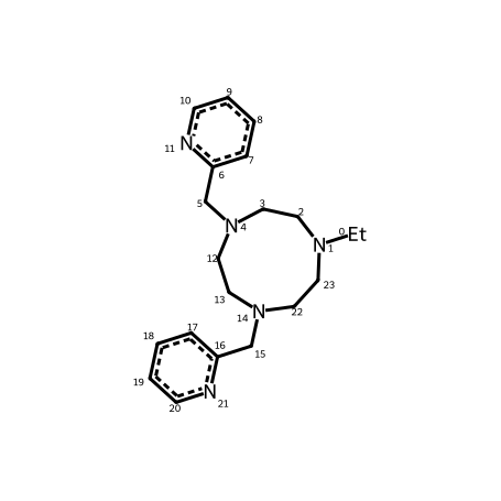 CCN1CCN(Cc2ccccn2)CCN(Cc2ccccn2)CC1